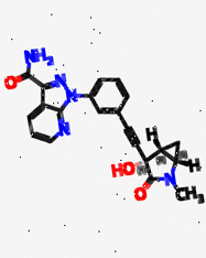 CN1C(=O)[C@@](O)(C#Cc2cccc(-n3nc(C(N)=O)c4cccnc43)c2)[C@@H]2C[C@@H]21